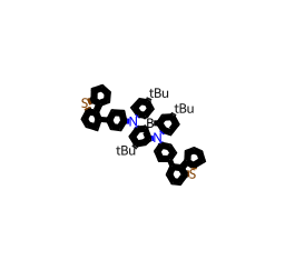 CC(C)(C)c1ccc2c(c1)B1c3cc(C(C)(C)C)ccc3N(c3ccc(-c4cccc5sc6ccccc6c45)cc3)c3cc(C(C)(C)C)cc(c31)N2c1ccc(-c2cccc3sc4ccccc4c23)cc1